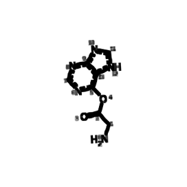 NCC(=O)Oc1ncnc2nc[nH]c12